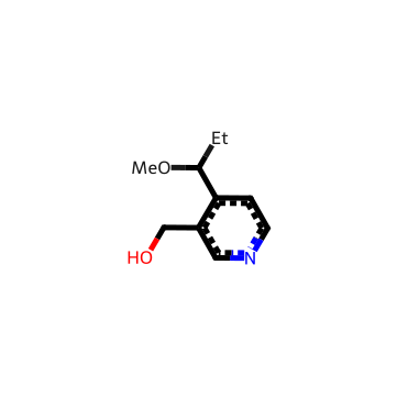 CCC(OC)c1ccncc1CO